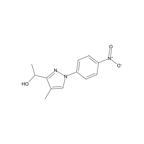 Cc1cn(-c2ccc([N+](=O)[O-])cc2)nc1C(C)O